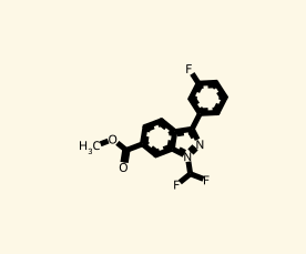 COC(=O)c1ccc2c(-c3cccc(F)c3)nn(C(F)F)c2c1